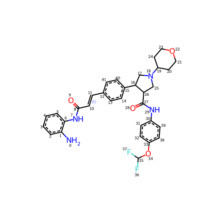 Nc1ccccc1NC(=O)/C=C/c1ccc(C2CN(C3CCOCC3)CC2C(=O)Nc2ccc(OC(F)F)cc2)cc1